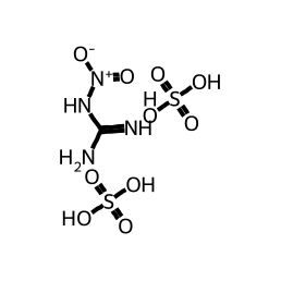 N=C(N)N[N+](=O)[O-].O=S(=O)(O)O.O=S(=O)(O)O